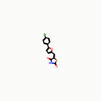 O=C1NC(=O)/C(=C\c2ccc(-c3ccc(Br)cc3)o2)S1